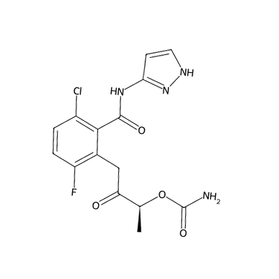 C[C@H](OC(N)=O)C(=O)Cc1c(F)ccc(Cl)c1C(=O)Nc1cc[nH]n1